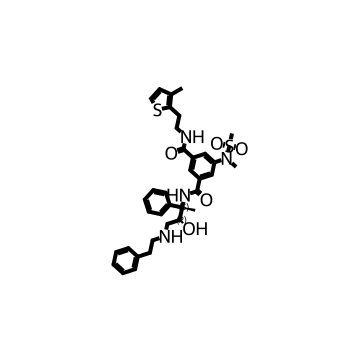 Cc1ccsc1CCNC(=O)c1cc(C(=O)N[C@@](C)(c2ccccc2)[C@H](O)CNCCc2ccccc2)cc(N(C)S(C)(=O)=O)c1